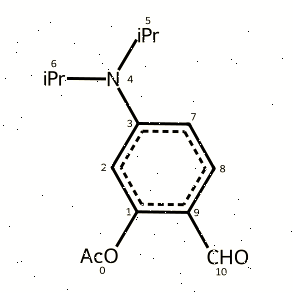 CC(=O)Oc1cc(N(C(C)C)C(C)C)ccc1C=O